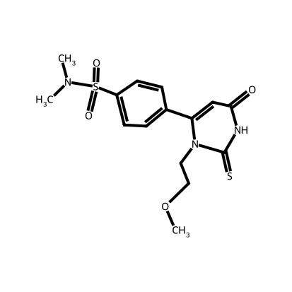 COCCn1c(-c2ccc(S(=O)(=O)N(C)C)cc2)cc(=O)[nH]c1=S